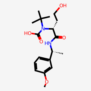 COc1cccc([C@@H](C)NC(=O)[C@@H](CCO)N(C(=O)O)C(C)(C)C)c1